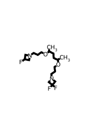 CC(CCC(C)OCCCN1CC(F)(F)C1)OCCCN1CC(F)C1